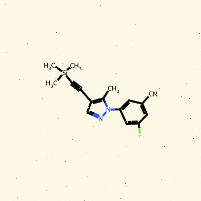 Cc1c(C#C[Si](C)(C)C)cnn1-c1cc(F)cc(C#N)c1